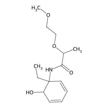 CCC1(NC(=O)C(C)OCCOC)C=CC=CC1O